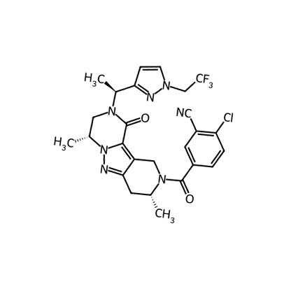 C[C@@H]1Cc2nn3c(c2CN1C(=O)c1ccc(Cl)c(C#N)c1)C(=O)N([C@@H](C)c1ccn(CC(F)(F)F)n1)C[C@H]3C